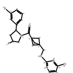 O=C(N1CC(F)CC1c1cccc(F)c1)C12CC(COc3nccc(Cl)n3)(C1)C2